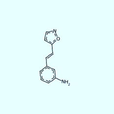 Nc1cccc(C=Cc2ccno2)c1